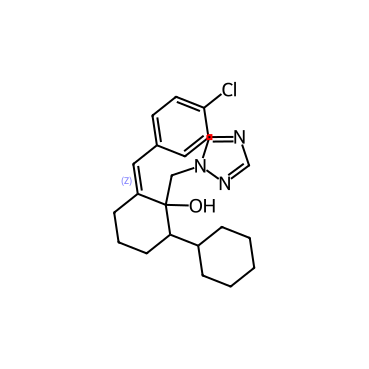 OC1(Cn2cncn2)/C(=C\c2ccc(Cl)cc2)CCCC1C1CCCCC1